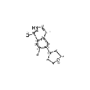 Fc1cc2c(cc1N1CCOCC1)N=CNC2Cl